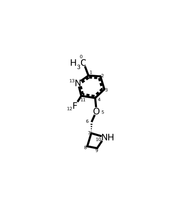 Cc1ccc(OC[C@H]2CCN2)c(F)n1